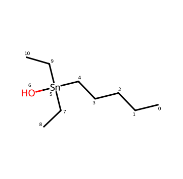 CCCC[CH2][Sn]([OH])([CH2]C)[CH2]C